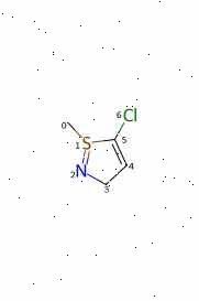 CS1=NCC=C1Cl